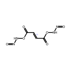 O=NNOC(=O)/C=C/C(=O)ONN=O